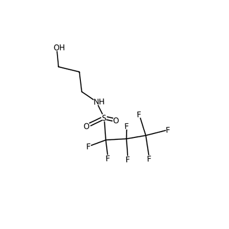 O=S(=O)(NCCCO)C(F)(F)C(F)(F)C(F)(F)F